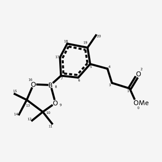 COC(=O)CCc1cc(B2OC(C)(C)C(C)(C)O2)ccc1C